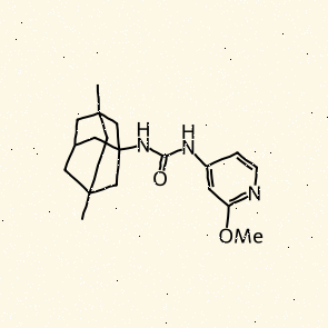 COc1cc(NC(=O)NC23CC4CC(C)(CC(C)(C4)C2)C3)ccn1